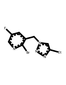 CCc1cn(Cc2cc(F)cnc2Br)nn1